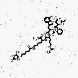 C[C@H]1NC(=O)N[C@H]1CCCCCC(=O)NCCCCC(NC(=O)C(CCCNC(N)=O)NC(=O)C(Cc1c[nH]c2ccccc12)NC(=O)[C@@H]1CCCCN1C(=O)C(CCC(=O)O)NC(=O)CCl)C(N)=O